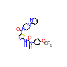 O=C(Nc1ccc(OC(F)(F)F)cc1)Nc1ncc(C(=O)N2CCN(c3ccccn3)CC2)s1